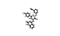 N#Cc1cccc(COC(=O)C(Cc2cc(=O)[nH]c3ccccc23)NC(=O)c2ccc(Cl)cc2)c1